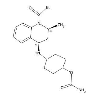 CCC(=O)N1c2ccccc2[C@H](NC2CCC(OC(N)=O)CC2)C[C@@H]1C